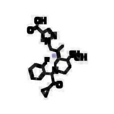 C/C(Cn1cc(C(=O)O)cn1)=C1/CN(C(C(=O)C2CC2)c2ccccc2F)CCC1S.Cl